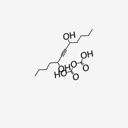 CCCCC(O)C#CC(O)CCCC.O=C(O)OC(=O)O